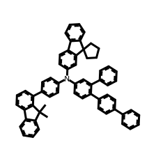 CC1(C)c2ccccc2-c2cccc(-c3ccc(N(c4ccc(-c5ccc(-c6ccccc6)cc5)c(-c5ccccc5)c4)c4ccc5c(c4)C4(CCCC4)c4ccccc4-5)cc3)c21